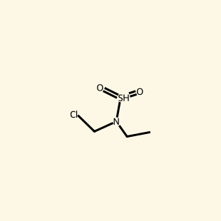 CCN(CCl)[SH](=O)=O